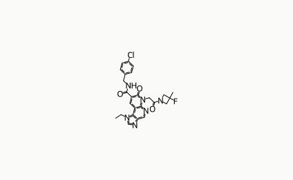 CCn1cnc2cnc3c(cc(C(=O)NCc4ccc(Cl)cc4)c(=O)n3CC(=O)N3CC(C)(F)C3)c21